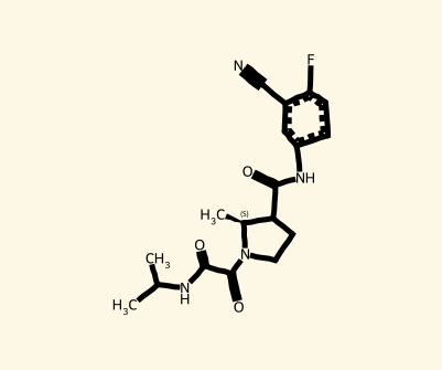 CC(C)NC(=O)C(=O)N1CCC(C(=O)Nc2ccc(F)c(C#N)c2)[C@@H]1C